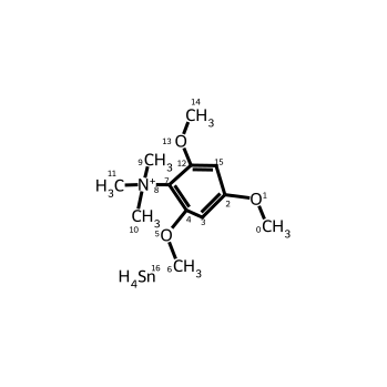 COc1cc(OC)c([N+](C)(C)C)c(OC)c1.[SnH4]